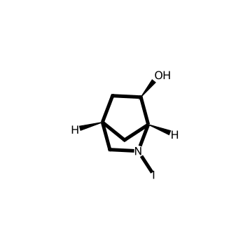 O[C@@H]1C[C@@H]2C[C@H]1N(I)C2